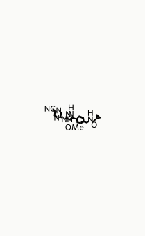 COc1cc(-c2cc(Nc3cnc(C#N)cn3)n[nH]2)ccc1CNC(=O)C1CC1